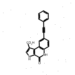 O=C(O)c1c[nH]c2c(=O)[nH]c3ccc(C#Cc4ccccc4)cc3c12